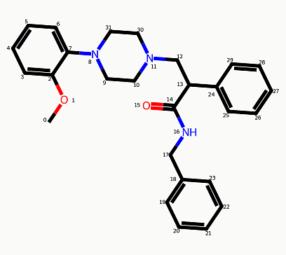 COc1ccccc1N1CCN(CC(C(=O)NCc2ccccc2)c2ccccc2)CC1